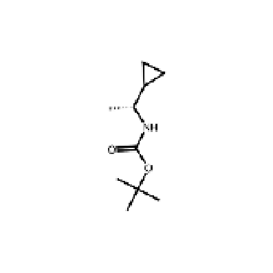 C[C@@H](NC(=O)OC(C)(C)C)C1CC1